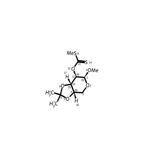 CO[C@H]1OC[C@@H]2OC(C)(C)O[C@@H]2[C@H]1OC(=S)SC